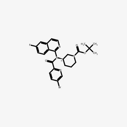 CC(C)(C)OC(=O)N1CCC[C@@H](N(C(=O)c2ccc(Br)cn2)c2nccc3cc(F)ccc23)C1